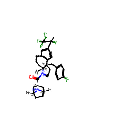 CC(F)(c1ccc2c(c1)CC[C@H]1N(C(=O)[C@@H]3C[C@H]4CC[C@@H](C3)N4)CC[C@@]21Cc1ccc(F)cc1)C(F)(F)F